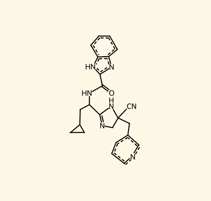 N#CC1(Cc2cccnc2)CN=C(C(CC2CC2)NC(=O)c2nc3ccccc3[nH]2)N1